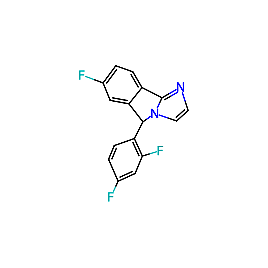 Fc1ccc(C2c3cc(F)ccc3-c3nccn32)c(F)c1